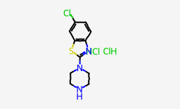 Cl.Cl.Clc1ccc2nc(N3CCNCC3)sc2c1